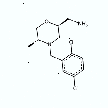 C[C@H]1CO[C@@H](CN)CN1Cc1cc(Cl)ccc1Cl